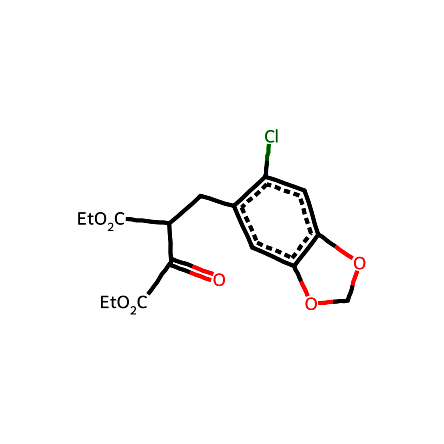 CCOC(=O)C(=O)C(Cc1cc2c(cc1Cl)OCO2)C(=O)OCC